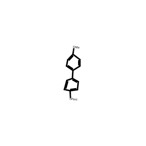 CCCCCc1ccc(-c2ccc(OC)cc2)cc1